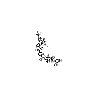 Cn1c(-c2cn(C3CC3(F)F)nc2C(F)(F)F)cnc1C(=O)Nc1ccc(C(=O)N2C[C@H]3CN(C(=O)N[C@H]4CNC[C@@H]4O)C[C@H]3C2)c(Cl)c1